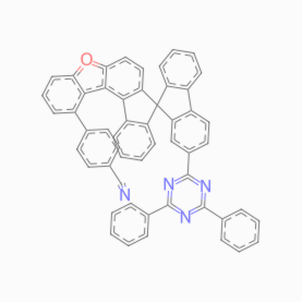 N#Cc1ccc(-c2cccc3oc4ccc5c(c4c23)-c2ccccc2C52c3ccccc3-c3ccc(-c4nc(-c5ccccc5)nc(-c5ccccc5)n4)cc32)cc1